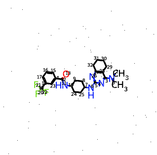 CN(C)c1nc(NC2CCC(NC(=O)c3cccc(C(F)(F)F)c3)CC2)nc2c1CCCC2